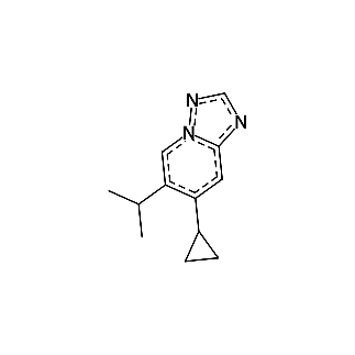 CC(C)c1cn2ncnc2cc1C1CC1